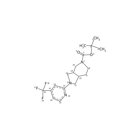 CC(C)(C)OC(=O)N1CCC2CN(c3cc(C(F)(F)F)ccn3)CC2C1